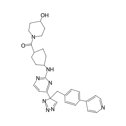 O=C(C1CCC(Nc2nccc(C3(Cc4ccc(-c5ccncc5)cc4)C=NN=N3)n2)CC1)N1CCC(O)CC1